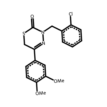 COc1ccc(C2=NN(Cc3ccccc3Cl)C(=O)SC2)cc1OC